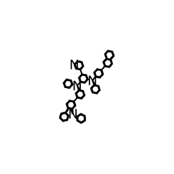 c1ccc(N(c2ccc(-c3ccc4ccccc4c3)cc2)c2cc(-c3cccnc3)cc(N(c3ccccc3)c3cccc(-c4ccc5c6ccccc6n(-c6ccccc6)c5c4)c3)c2)cc1